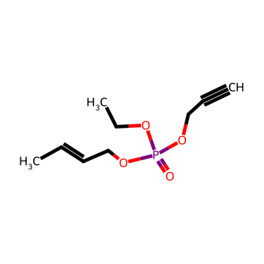 C#CCOP(=O)(OCC)OCC=CC